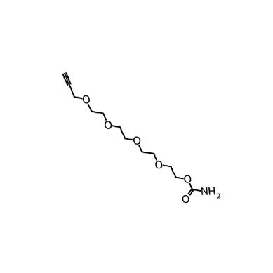 C#CCOCCOCCOCCOCCOC(N)=O